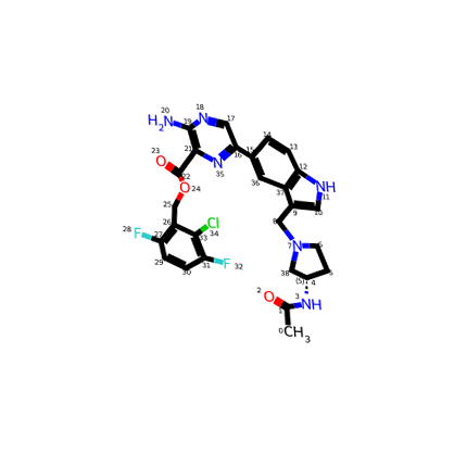 CC(=O)N[C@H]1CCN(Cc2c[nH]c3ccc(-c4cnc(N)c(C(=O)OCc5c(F)ccc(F)c5Cl)n4)cc23)C1